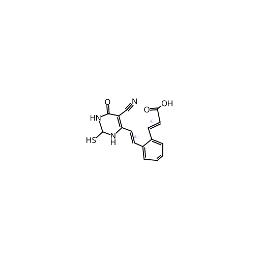 N#CC1=C(/C=C/c2ccccc2/C=C/C(=O)O)NC(S)NC1=O